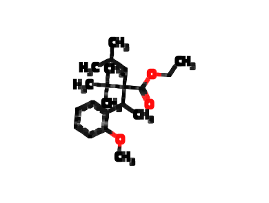 CCOC(=O)C(CC(C)C)(C(C)c1ccccc1OC)C(C)(C)C